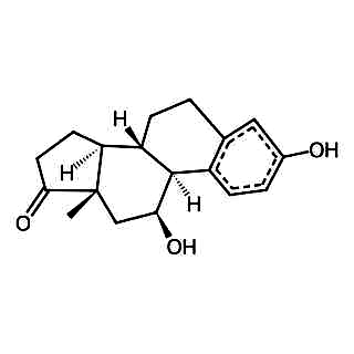 C[C@]12C[C@H](O)[C@@H]3c4ccc(O)cc4CC[C@H]3[C@@H]1CCC2=O